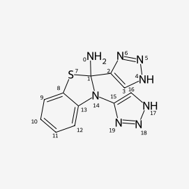 NC1(c2c[nH]nn2)Sc2ccccc2N1c1c[nH]nn1